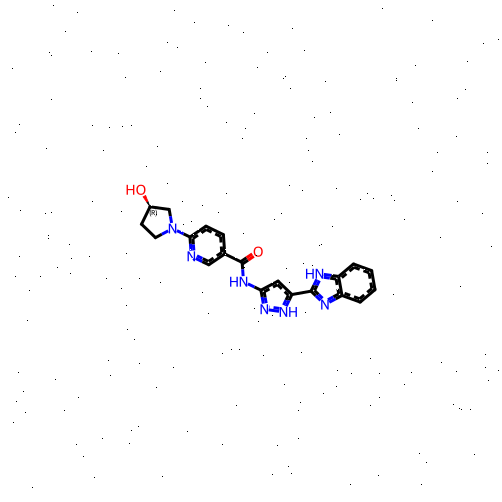 O=C(Nc1cc(-c2nc3ccccc3[nH]2)[nH]n1)c1ccc(N2CC[C@@H](O)C2)nc1